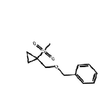 CS(=O)(=O)C1(COCc2ccccc2)CC1